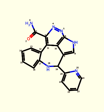 NC(=O)c1nnc2[nH]cc3c2c1-c1ccccc1NC3c1ccccn1